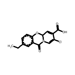 CCc1ccc2c(c1)C(=O)N1C=C(Cl)C(C(=O)O)=CC1O2